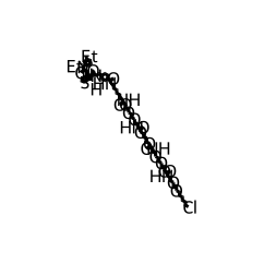 CCc1cccc(N(CC)C(=O)Cn2c(C(=O)NCC3CCC(C(=O)NCCCCCCNC(=O)OCCOCCOCCNC(=O)OC/C=C/COC(=O)NCCOCCOCCOC(=O)NCCOCCOCCCCCCCl)CC3)cc3sccc32)c1